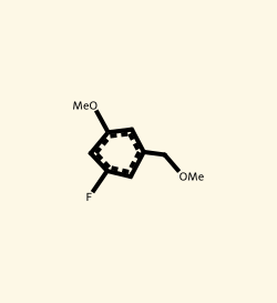 COCc1cc(F)cc(OC)c1